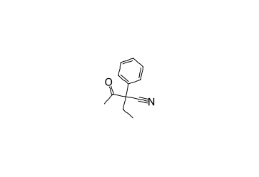 CCC(C#N)(C(C)=O)c1ccccc1